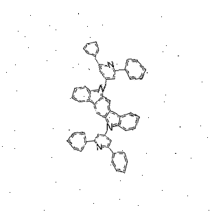 c1ccc(-c2cc(-n3c4ccccc4c4cc5c(cc43)c3ccccc3n5-c3cc(-c4ccccc4)nc(-c4ccccc4)c3)cc(-c3ccccc3)n2)cc1